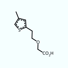 Cc1csc(CCOCC(=O)O)c1